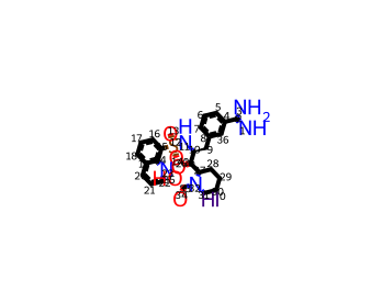 I.N=C(N)c1cccc(C[C@H](NS(=O)(=O)c2cccc3cccnc23)C(=O)C2CCCCN2C(=O)O)c1